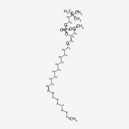 CCCCCCCCC/C=C\CCCCCCCCCCCOC[C@H](COC)OP(=O)([O-])OCC[N+](C)(C)C